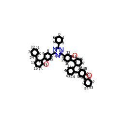 c1ccc(-c2nc(-c3ccc4c(c3)oc3cccc(-c5ccccc5)c34)nc(-c3ccc4c(c3)oc3cccc(-c5ccccc5-c5ccc6oc7ccccc7c6c5)c34)n2)cc1